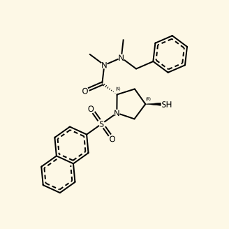 CN(Cc1ccccc1)N(C)C(=O)[C@@H]1C[C@@H](S)CN1S(=O)(=O)c1ccc2ccccc2c1